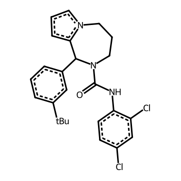 CC(C)(C)c1cccc(C2c3cccn3CCCN2C(=O)Nc2ccc(Cl)cc2Cl)c1